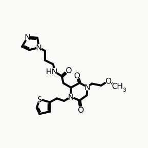 COCCN1CC(=O)N(CCc2cccs2)C(CC(=O)NCCCn2ccnc2)C1=O